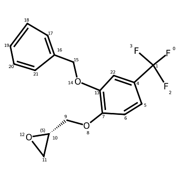 FC(F)(F)c1ccc(OC[C@@H]2CO2)c(OCc2ccccc2)c1